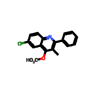 Cc1c(-c2ccccc2)nc2ccc(Cl)cc2c1OC(=O)O